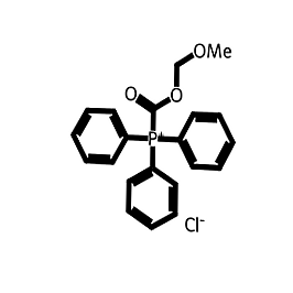 COCOC(=O)[P+](c1ccccc1)(c1ccccc1)c1ccccc1.[Cl-]